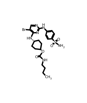 CCCCNC(=O)O[C@H]1CC[C@H](Nc2nc(Nc3ccc(S(N)(=O)=O)cc3)ncc2Br)CC1